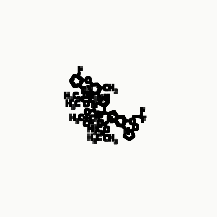 Cc1cc(Oc2c(F)cccc2F)ncc1-n1ncc(C(=O)c2cc3cc(OCC(F)F)c(N4CCCC4=O)cc3n2C(=O)OC(C)(C)C)c1N(C(=O)OC(C)(C)C)C(=O)OC(C)(C)C